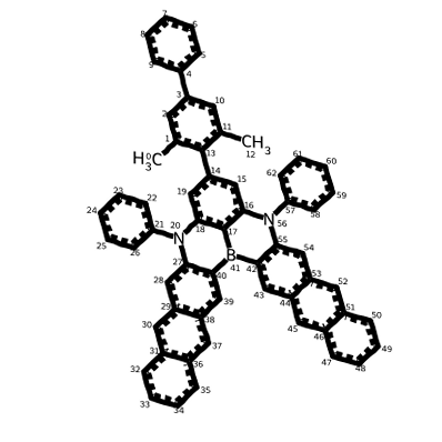 Cc1cc(-c2ccccc2)cc(C)c1-c1cc2c3c(c1)N(c1ccccc1)c1cc4cc5ccccc5cc4cc1B3c1cc3cc4ccccc4cc3cc1N2c1ccccc1